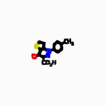 Cc1ccc(-n2nc(C(=O)O)c(=O)c3sccc32)cc1